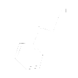 SCSc1ccccc1